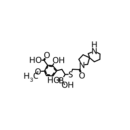 COc1ccc(CC(SCC(=O)N2CCC3(CCCNC3)C2)B(O)O)c(O)c1C(=O)O